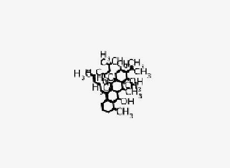 CCCCCC1C2CCCC(C)C2C(O)C2C(C)C3(C)C(O)C(C(C)C)C(C)CC3(C)C(OC(C)CC(C)C)C12C